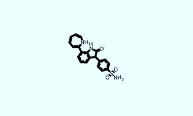 NS(=O)(=O)c1ccc(C2C(=O)Nc3c(C4=CC=CC=CN4)cccc32)cc1